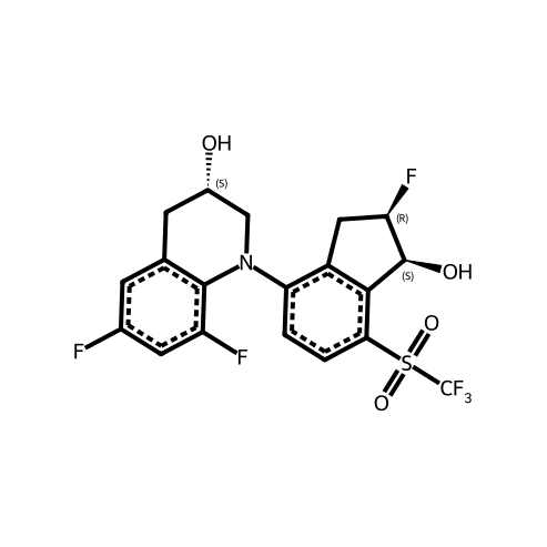 O=S(=O)(c1ccc(N2C[C@@H](O)Cc3cc(F)cc(F)c32)c2c1[C@H](O)[C@H](F)C2)C(F)(F)F